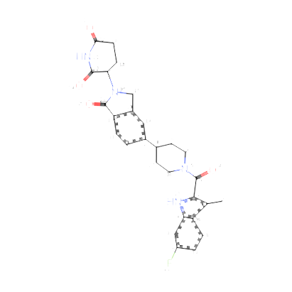 Cc1c(C(=O)N2CCC(c3ccc4c(c3)CN(C3CCC(=O)NC3=O)C4=O)CC2)[nH]c2cc(F)ccc12